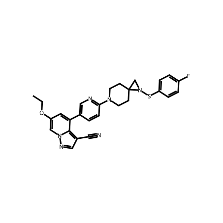 CCOc1cc(-c2ccc(N3CCC4(CC3)CN4Sc3ccc(F)cc3)nc2)c2c(C#N)cnn2c1